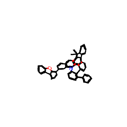 CC1(C)c2ccccc2-c2ccc(N(c3cccc(-c4cccc5c4oc4ccccc45)c3)c3cccc(-c4ccccc4)c3-c3ccccc3-c3ccccc3)cc21